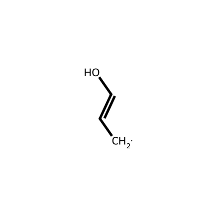 [CH2]C=CO